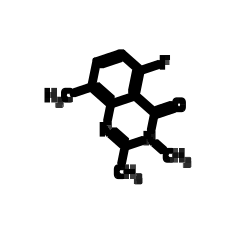 Cc1ccc(F)c2c(=O)n(C)c(C)nc12